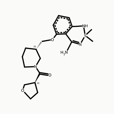 CS1(C)N=C(N)c2c(cccc2OC[C@H]2CCCN(C(=O)[C@H]3CCOC3)C2)N1